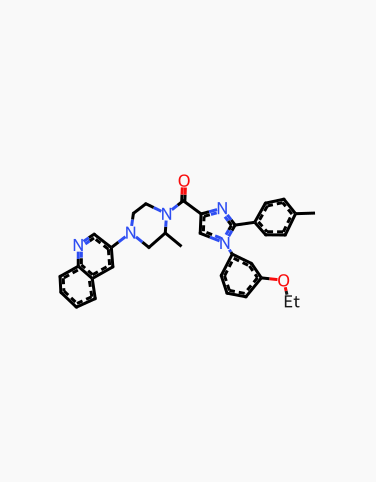 CCOc1cccc(-n2cc(C(=O)N3CCN(c4cnc5ccccc5c4)CC3C)nc2-c2ccc(C)cc2)c1